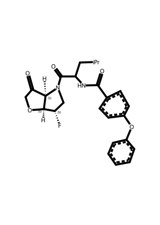 CC(C)CC(NC(=O)c1ccc(Oc2ccccc2)cc1)C(=O)N1C[C@H](F)[C@H]2OCC(=O)[C@H]21